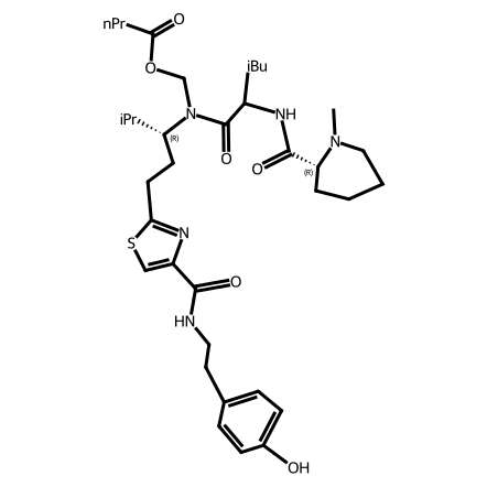 CCCC(=O)OCN(C(=O)C(NC(=O)[C@H]1CCCCN1C)C(C)CC)[C@H](CCc1nc(C(=O)NCCc2ccc(O)cc2)cs1)C(C)C